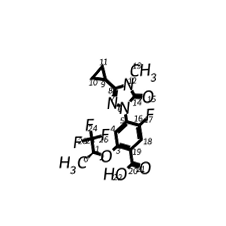 C[C@H](Oc1cc(-n2nc(C3CC3)n(C)c2=O)c(F)cc1C(=O)O)C(F)(F)F